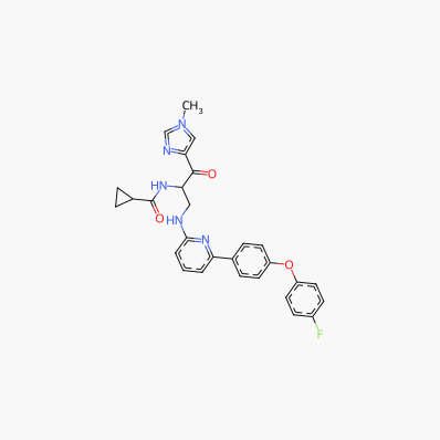 Cn1cnc(C(=O)C(CNc2cccc(-c3ccc(Oc4ccc(F)cc4)cc3)n2)NC(=O)C2CC2)c1